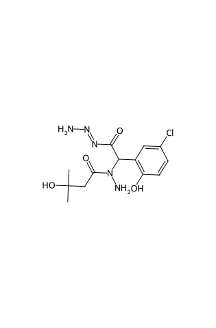 CC(C)(O)CC(=O)N(N)C(C(=O)N=NN)c1cc(Cl)ccc1O